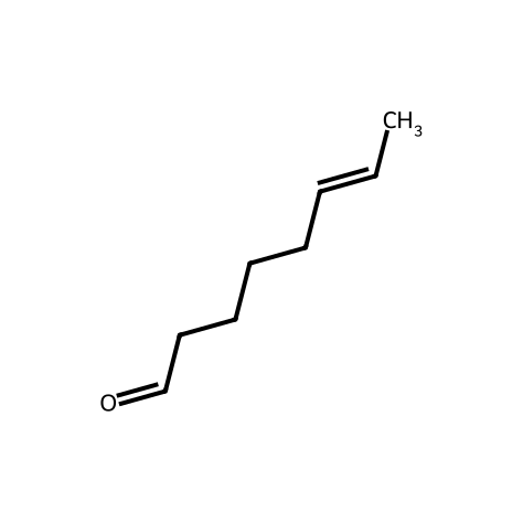 CC=CCCCCC=O